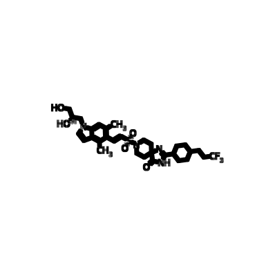 Cc1cc2c(ccn2C[C@@H](O)CO)c(C)c1C=CS(=O)(=O)N1CCC2(CC1)N=C(C1CCC(CCC(F)(F)F)CC1)NC2=O